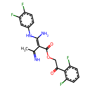 CC(=N)/C(C(=O)OCC(=O)c1c(F)cccc1F)=C(/N)Nc1ccc(F)c(F)c1